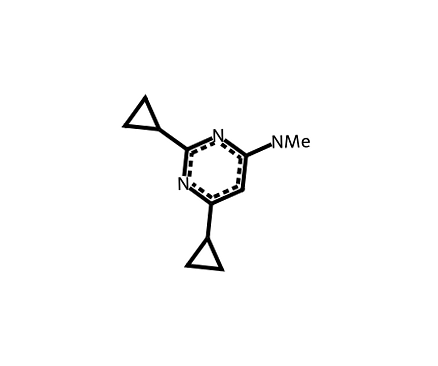 CNc1cc(C2CC2)nc(C2CC2)n1